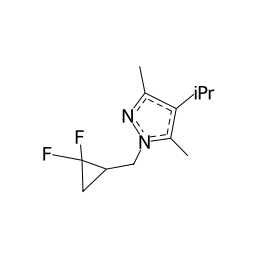 Cc1nn(CC2CC2(F)F)c(C)c1C(C)C